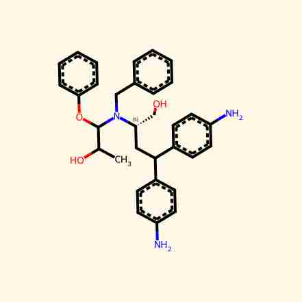 CC(O)C(Oc1ccccc1)N(Cc1ccccc1)[C@H](CO)CC(c1ccc(N)cc1)c1ccc(N)cc1